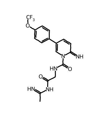 CC(=N)NC(=O)CNC(=O)n1cc(-c2ccc(OC(F)(F)F)cc2)ccc1=N